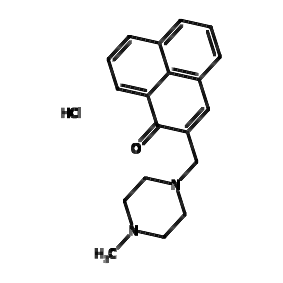 CN1CCN(CC2=Cc3cccc4cccc(c34)C2=O)CC1.Cl